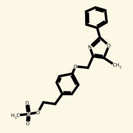 Cc1oc(-c2ccccc2)nc1COc1ccc(CCOS(C)(=O)=O)cc1